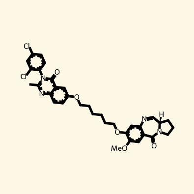 COc1cc2c(cc1OCCCCCCOc1ccc3nc(C)n(-c4ccc(Cl)cc4Cl)c(=O)c3c1)N=C[C@@H]1CCCN1C2=O